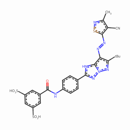 Cc1nsc(/N=N/c2c(C(C)(C)C)nn3nc(-c4ccc(NC(=O)c5cc(S(=O)(=O)O)cc(S(=O)(=O)O)c5)cc4)[nH]c23)c1C#N